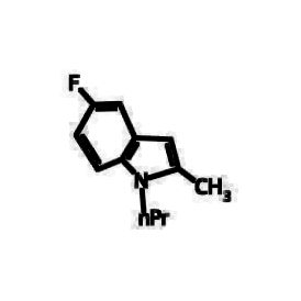 CCCn1c(C)cc2cc(F)ccc21